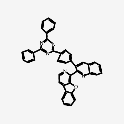 c1ccc(-c2nc(-c3ccccc3)nc(-c3ccc(-c4cc5ccccc5nc4-c4nccc5c4oc4ccccc45)cc3)n2)cc1